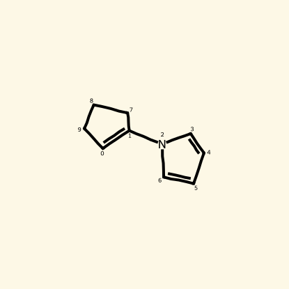 C1=C(n2cccc2)CCC1